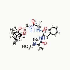 CC(C)[C@@H](C(=O)N[C@@H](Cc1ccccc1)C(=O)N[C@@H](C)C(=O)NCB1O[C@@H]2C[C@@H]3C[C@@H](C3(C)C)[C@]2(C)O1)N(C(=O)O)C(C)(C)C